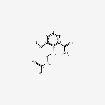 COc1ccnc(C(N)=O)c1OCOC(C)=O